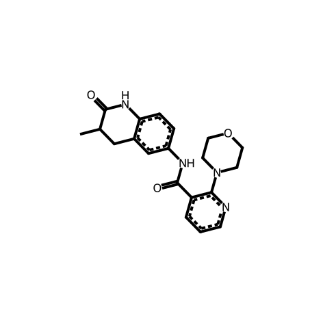 CC1Cc2cc(NC(=O)c3cccnc3N3CCOCC3)ccc2NC1=O